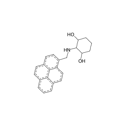 OC1CCCC(O)C1NCc1ccc2ccc3cccc4ccc1c2c34